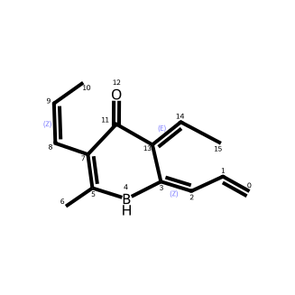 C=C/C=C1/BC(C)=C(/C=C\C)C(=O)/C1=C/C